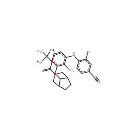 [C-]#[N+]c1ccc(Nc2ncnc(OC3C4CCC3CN(C(=O)OC(C)(C)C)C4)c2C)c(Cl)c1